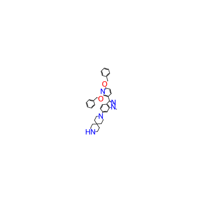 Cn1nc(-c2ccc(OCc3ccccc3)nc2OCc2ccccc2)c2ccc(N3CCC4(CCNCC4)CC3)cc21